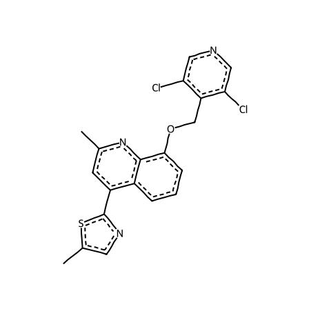 Cc1cc(-c2ncc(C)s2)c2cccc(OCc3c(Cl)cncc3Cl)c2n1